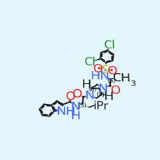 CC(C)C[C@H](NC(=O)c1cc2ccccc2[nH]1)C(=O)N1C[C@@H]2C[C@H]1CN2C(=O)[C@H](C)NS(=O)(=O)c1ccc(Cl)cc1Cl